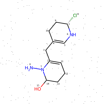 NN1C(CC2=CN[C@@H](Cl)CC2)=CCCC1O